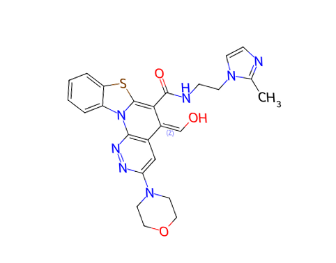 Cc1nccn1CCNC(=O)C1=C2Sc3ccccc3N2c2nnc(N3CCOCC3)cc2/C1=C/O